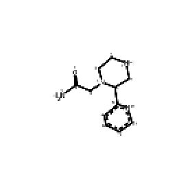 NC(=O)CN1CCNCC1c1ccccn1